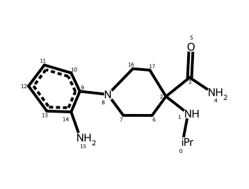 CC(C)NC1(C(N)=O)CCN(c2ccccc2N)CC1